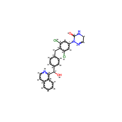 O=C1NCC=NN1c1cc(Cl)c(Cc2ccc(C(O)c3nccc4ccccc34)cc2)c(Cl)c1